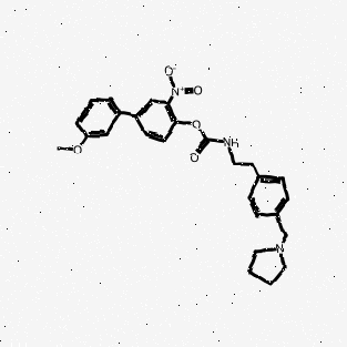 COc1cccc(-c2ccc(OC(=O)NCCc3ccc(CN4CCCC4)cc3)c([N+](=O)[O-])c2)c1